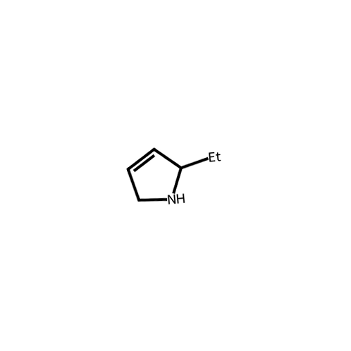 CCC1C=CCN1